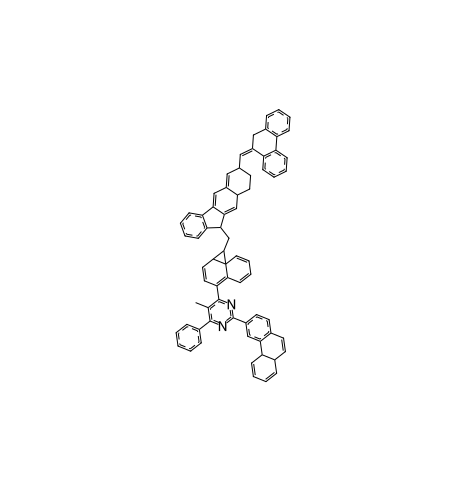 Cc1c(C2=C3C=CC=CC34C(C=C2)C4CC2C3=CC4CCC(/C=C5/Cc6ccccc6-c6ccccc65)C=C4C=C3c3ccccc32)nc(-c2ccc3c(c2)C2C=CC=CC2C=C3)nc1-c1ccccc1